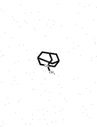 [CH3][Ge]12[CH2]C3CC(CC(C3)[CH2]1)[CH2]2